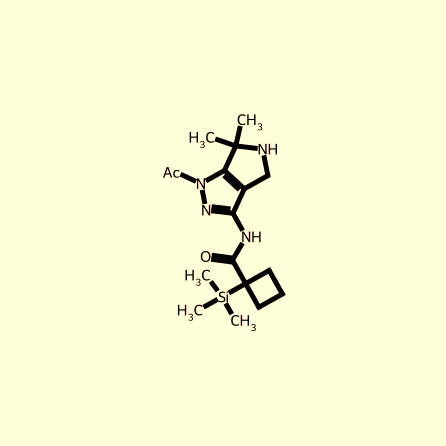 CC(=O)n1nc(NC(=O)C2([Si](C)(C)C)CCC2)c2c1C(C)(C)NC2